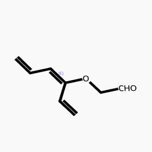 C=C/C=C(\C=C)OCC=O